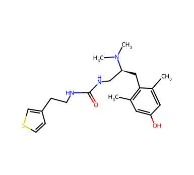 Cc1cc(O)cc(C)c1C[C@@H](CNC(=O)NCCc1ccsc1)N(C)C